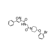 O=C(NCC(=O)N1CCC(Oc2ccccc2Br)CC1)c1cc(-c2ccccc2)on1